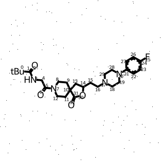 CC(C)(C)C(=O)NCC(=O)N1CCC2(CC1)CC(CCN1CCN(c3ccc(F)cc3)CC1)OC2=O